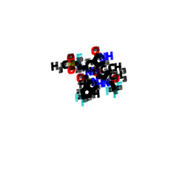 CC(C)(C)[C@@H](NC(=O)C(F)(F)F)C(=O)N1C[C@H]2CC(F)(F)C[C@H]2[C@@H]1C(=O)N[C@@H](/C=C(\F)S(C)(=O)=O)C[C@@H]1CCNC1=O